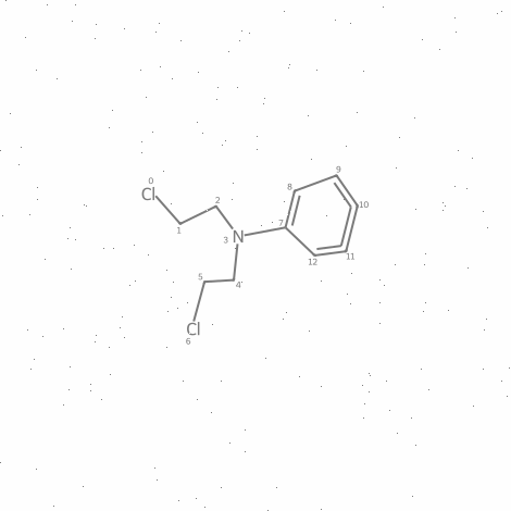 ClCCN(CCCl)C1=CC=C=C=C1